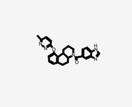 Cc1ccc(Oc2cccc3c2C2CCCN(C(=O)c4ccc5[nH]cnc5c4)C2CC3)nn1